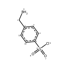 BCc1ccc(S(=O)(=O)Cl)cc1